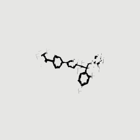 O=C(c1ccc(-c2ccc(C(F)(F)C(O)(Cn3cnnn3)c3ccc(F)cc3F)nc2)cc1)C(F)(F)F